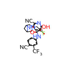 C[C@](O)(CN1CC2CC(C1)N2c1cc(F)cnc1C#N)C(=O)Nc1ccc(C#N)c(C(F)(F)F)c1